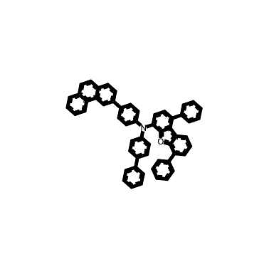 c1ccc(-c2ccc(N(c3ccc(-c4ccc5ccc6ccccc6c5c4)cc3)c3ccc(-c4ccccc4)c4c3oc3c(-c5ccccc5)cccc34)cc2)cc1